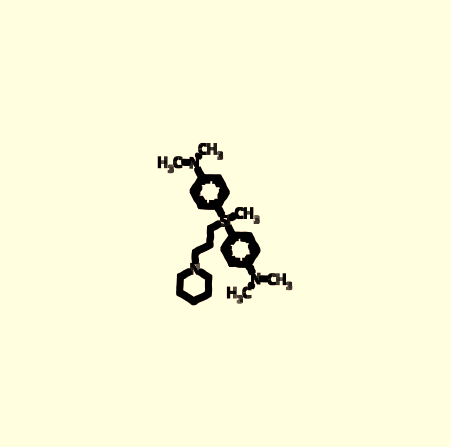 CN(C)c1ccc([Si](C)(CCCN2CCCCC2)c2ccc(N(C)C)cc2)cc1